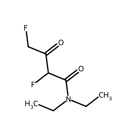 CCN(CC)C(=O)C(F)C(=O)CF